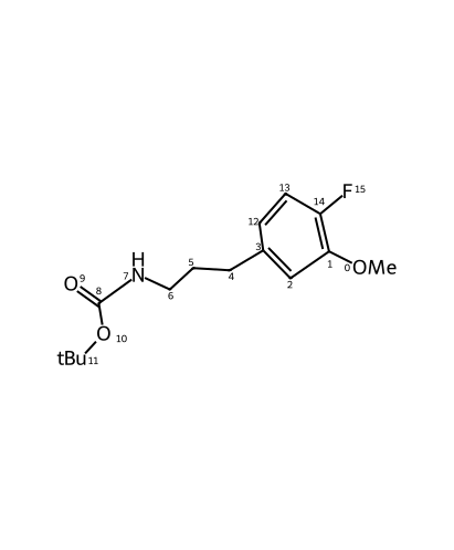 COc1cc(CCCNC(=O)OC(C)(C)C)ccc1F